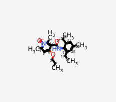 CCCOc1cc(C)[n+]([O-])c(C)c1C(=O)Nc1c(CC)cc(C)cc1CC